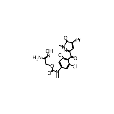 CC(C)c1cc(C(=O)c2c(Cl)cc(NC(=O)OCC(N)=NO)cc2Cl)nn(C)c1=O